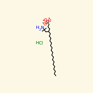 CCCCCCCCCCCCCCCCCCCC(CCC[Si](OC)(OC)OC)CC(C)(C)N.Cl